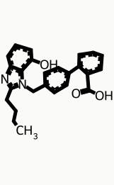 CCCCc1nc2cccc(O)c2n1Cc1ccc(-c2ccccc2C(=O)O)cc1